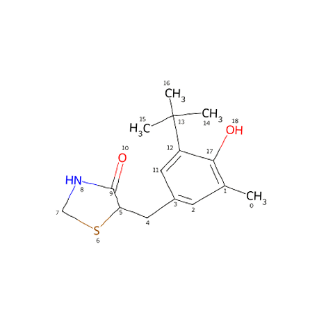 Cc1cc(CC2SCNC2=O)cc(C(C)(C)C)c1O